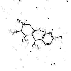 CCN1CC([N+](=O)[O-])=C(C(C)c2ccc(Cl)nc2)N(C)C1N